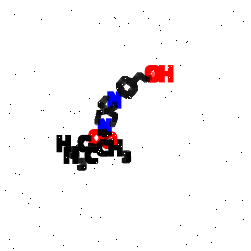 CC(C)(C)OC(=O)N1CCC2(CC1)CCN(c1ccc(CCO)cc1)C2